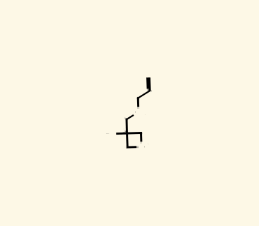 C=CCOCC1(CC)COC1